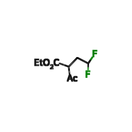 CCOC(=O)C(CC(F)F)C(C)=O